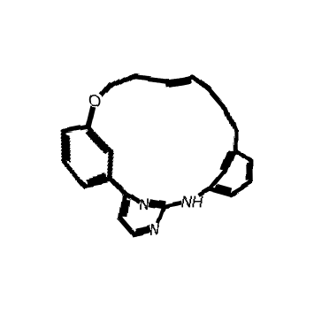 C1=C/CCOc2cccc(c2)-c2ccnc(n2)Nc2cccc(c2)CCC/1